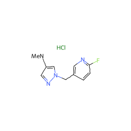 CNc1cnn(Cc2ccc(F)nc2)c1.Cl